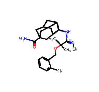 CC(C)(OCc1ccccc1C#N)/C(=N\C#N)NC1C2CC3CC1CC(C(N)=O)(C3)C2